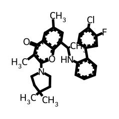 Cc1cc([C@@H](C)Nc2ccccc2-c2ccc(Cl)c(F)c2)c2oc(N3CCC(C)(C)CC3)c(C)c(=O)c2c1